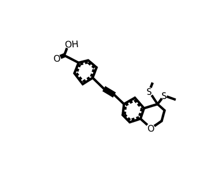 CSC1(SC)CCOc2ccc(C#Cc3ccc(C(=O)O)cc3)cc21